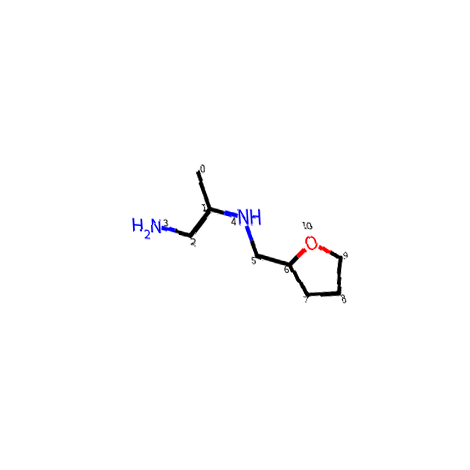 CC(CN)NCC1CCCO1